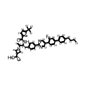 C=C([C@H](Cc1ccc(-c2ncc(-c3ccc(-c4ccc(CCCC)cc4)cc3F)cn2)cc1)NC(=O)c1ccc(C(C)(C)C)s1)N1CC(C(=O)O)C1